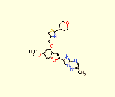 COc1cc(OCc2csc(C3CCOCC3)n2)c2cc(-c3cn4nc(C)cnc4n3)oc2c1